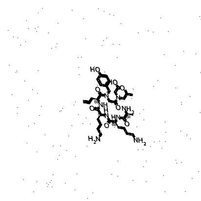 C=CC[C@H](NC(=O)[C@H](CCCCN)NC(=O)[C@H](CCCCN)NC(=O)[C@H](C)N)C(=O)N(CC(=O)N(CC(=O)O)CC(C)C)Cc1ccc(O)cc1